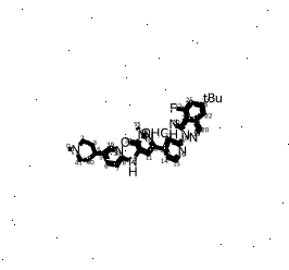 CN1CCC(c2ccc(Nc3cc(-c4ccnc(-n5ncc6cc(C(C)(C)C)cc(F)c6c5=N)c4C=O)nn(C)c3=O)nc2)CC1